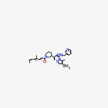 Bc1cnn(/C(=C\C(=C)C2CCCN(C(=O)/C=C/C(C)=C/C=C\C)C2)NCc2cccnc2)c1C